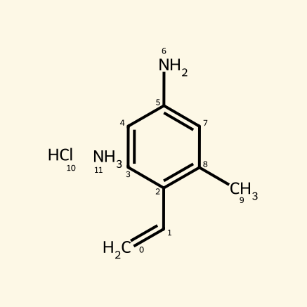 C=Cc1ccc(N)cc1C.Cl.N